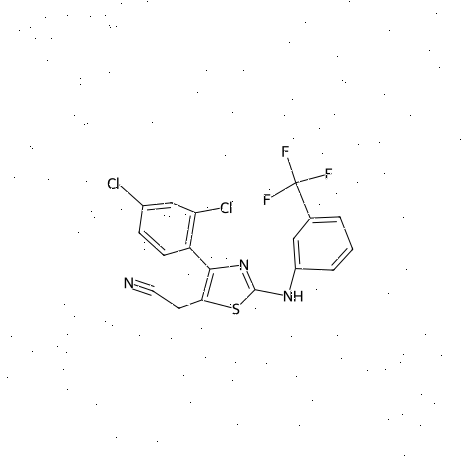 N#CCc1sc(Nc2cccc(C(F)(F)F)c2)nc1-c1ccc(Cl)cc1Cl